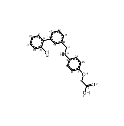 O=C(O)COc1ccc(NCc2cccc(-c3ccccc3Cl)c2)cc1